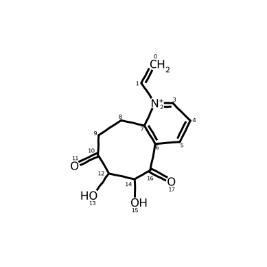 C=C[n+]1cccc2c1CCC(=O)C(O)C(O)C2=O